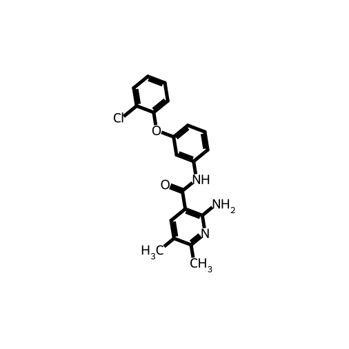 Cc1cc(C(=O)Nc2cccc(Oc3ccccc3Cl)c2)c(N)nc1C